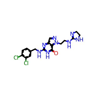 O=c1[nH]c(NCc2ccc(Cl)c(Cl)c2)nc2cnn(CCNC3=NCCN3)c12